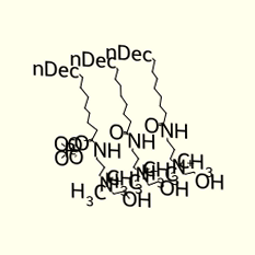 CCCCCCCCCCCCCCCCCC(=O)NCCC[N+](C)(C)CCO.CCCCCCCCCCCCCCCCCC(=O)NCCC[N+](C)(C)CCO.CCCCCCCCCCCCCCCCCC(=O)NCCC[N+](C)(C)CCO.O=P([O-])([O-])[O-]